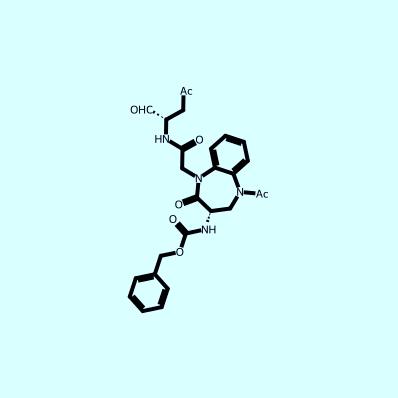 CC(=O)C[C@@H](C=O)NC(=O)CN1C(=O)[C@@H](NC(=O)OCc2ccccc2)CN(C(C)=O)c2ccccc21